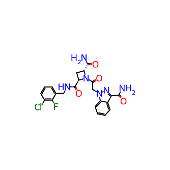 NC(=O)c1nn(CC(=O)N2[C@@H](C(N)=O)C[C@@H]2C(=O)NCc2cccc(Cl)c2F)c2ccccc12